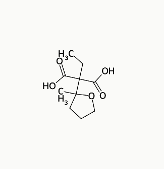 CCC(C(=O)O)(C(=O)O)C1(C)CCCO1